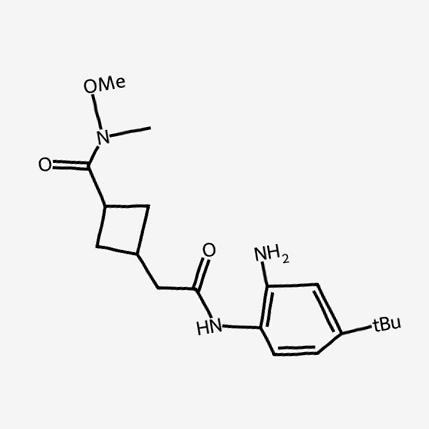 CON(C)C(=O)C1CC(CC(=O)Nc2ccc(C(C)(C)C)cc2N)C1